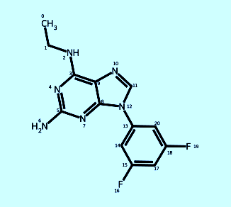 CCNc1nc(N)nc2c1ncn2-c1cc(F)cc(F)c1